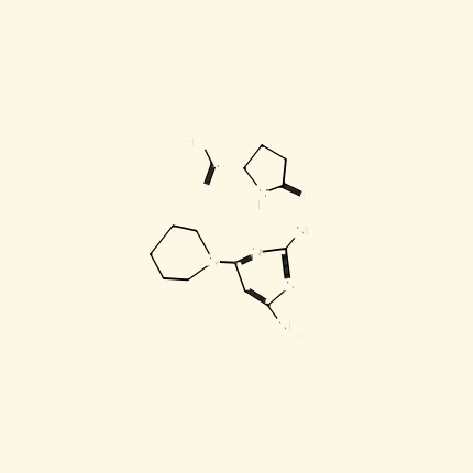 Nc1cc(N2CCCCC2)nc(N)n1.O=C1CC[C@@H](C(=O)O)N1